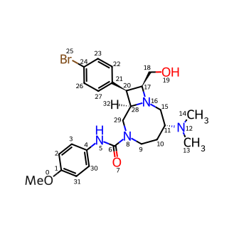 COc1ccc(NC(=O)N2CC[C@@H](N(C)C)CN3[C@H](CO)[C@H](c4ccc(Br)cc4)[C@@H]3C2)cc1